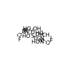 C[C@H](O)C(C(O)[C@@H](CO)OCSC1OC(CO)C(O)C(n2cc(-c3cccc(F)c3)nn2)C1O)n1cc(-c2cccc(F)c2)nn1